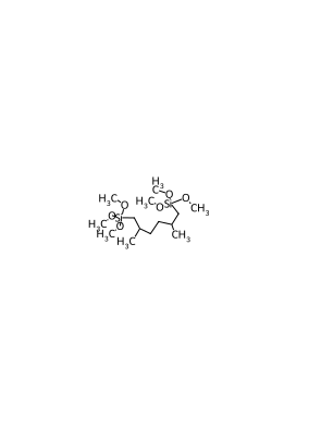 CO[Si](CC(C)CCC(C)C[Si](OC)(OC)OC)(OC)OC